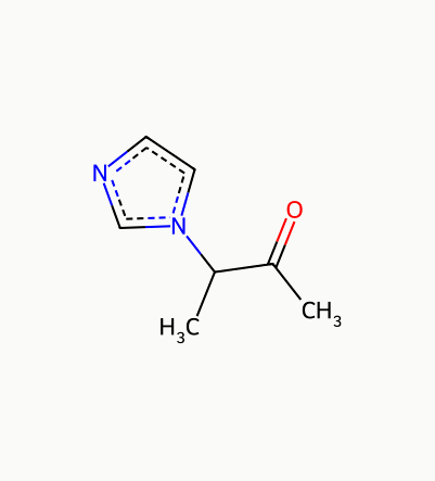 CC(=O)C(C)n1ccnc1